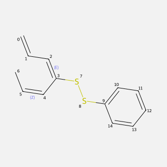 C=C/C=C(\C=C/C)SSc1ccccc1